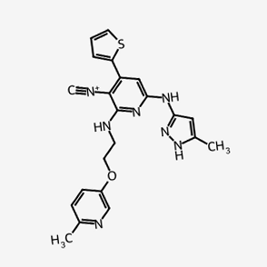 [C-]#[N+]c1c(-c2cccs2)cc(Nc2cc(C)[nH]n2)nc1NCCOc1ccc(C)nc1